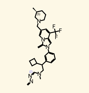 C=N/N=C\N(C)CC(c1cccc(N2C=C3C(C(F)(F)F)=CC(CN4CCC[C@H](C)C4)=CN3C2=C)c1)C1CCC1